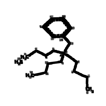 CCCC[N+](CCCC)(CCCC)Cc1ccccc1.S